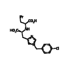 CC(C)CC(N[C@@H](Cc1cn(Cc2ccc(Cl)cc2)cn1)C(=O)O)C(=O)O